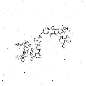 CCOc1cc([C@@H](CS(C)(=O)=O)N2C(=O)c3ccnc(N4CCN([C@@H]5CCN(Cc6ccc(Oc7cc8c(cc7F)c(N7CCC(=O)NC7=O)nn8C)cc6)CC5(F)F)CC4)c3C2=O)ccc1OC